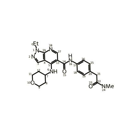 CCn1ncc2c(NC3CCOCC3)c(C(=O)Nc3ccc(CC(=O)NC)cc3)cnc21